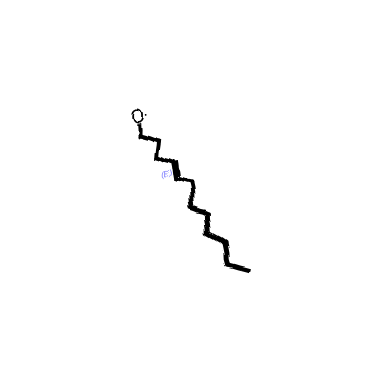 CCCCCCC/C=C/CCC[O]